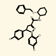 O=C(N[C@@H]1CCCC[C@H]1OCc1ccccc1)C1=NN(c2ccc(Cl)cc2Cl)C(c2ccc(Cl)cc2)C1